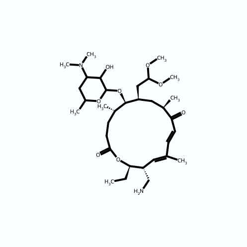 CC[C@H]1OC(=O)CC[C@H](C)[C@@H](OC2OC(C)CC(N(C)C)C2O)[C@@H](CC(OC)OC)C[C@@H](C)C(=O)/C=C/C(C)=C/[C@@H]1CN